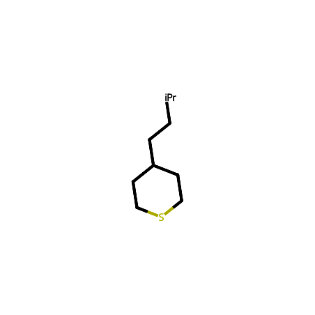 CC(C)CCC1CCSCC1